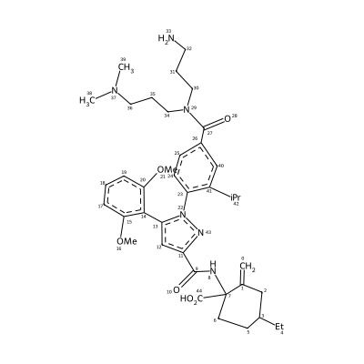 C=C1CC(CC)CCC1(NC(=O)c1cc(-c2c(OC)cccc2OC)n(-c2ccc(C(=O)N(CCCN)CCCN(C)C)cc2C(C)C)n1)C(=O)O